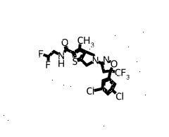 Cc1c(C(=O)NCC(F)F)sc2c1CN(C1=NOC(c3cc(Cl)cc(Cl)c3)(C(F)(F)F)C1)C2